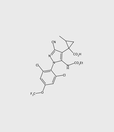 CCOC(=O)Nc1c(C2(C(=O)O)CC2C)c(C#N)nn1-c1c(Cl)cc(OC(F)(F)F)cc1Cl